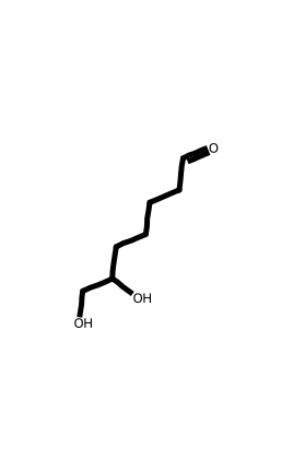 O=CCCCCC(O)CO